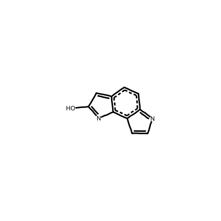 OC1=Nc2c3c(ccc2=C1)=NC=C3